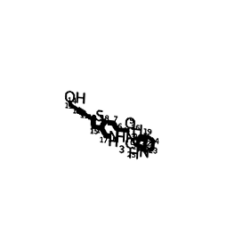 C[C@H]1[C@H](NC(=O)c2cc3sc(C#CCO)cc3cn2)C2CCN1CC2